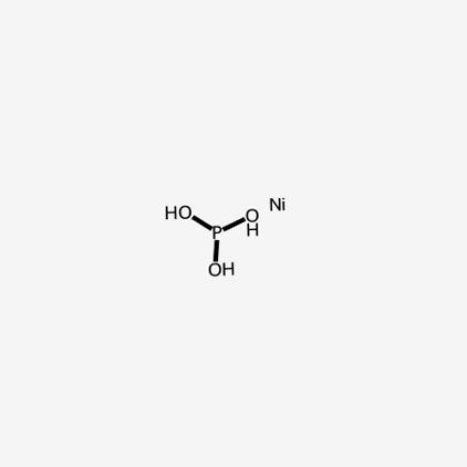 OP(O)O.[Ni]